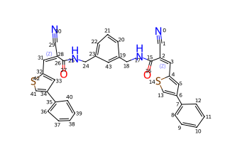 N#C/C(=C/c1cc(-c2ccccc2)cs1)C(=O)NCc1cccc(CNC(=O)/C(C#N)=C\c2cc(-c3ccccc3)cs2)c1